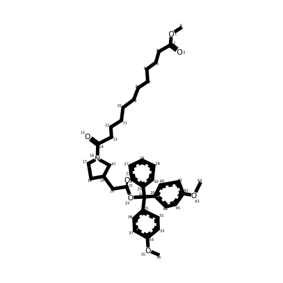 COC(=O)CCCCCCCCCCC(=O)N1CCC(C[C@H](O)OC(c2ccccc2)(c2ccc(OC)cc2)c2ccc(OC)cc2)C1